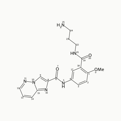 COc1ccc(NC(=O)c2cn3ncccc3n2)cc1C(=O)NCCCN